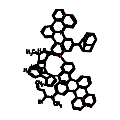 C=CCC(CC)N(C)c1cc(C2c3cccc(c3)N(c3cc(C4C5CC6CC(C5)CC4C6)cc(N(c4ccccc4)c4c(-c5ccccc5)cccc4-c4ccccc4)c3)C3=CC(C)C4=C(C3C)C(C)C(=CC4C)C23C=CC=C3c2ccccc2)cc(N(c2ccccc2)c2c(-c3ccccc3)cccc2-c2ccccc2)c1